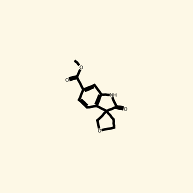 COC(=O)c1ccc2c(c1)NC(=O)C21CCOC1